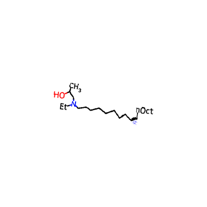 CCCCCCCC/C=C\CCCCCCCCN(CC)CC(C)O